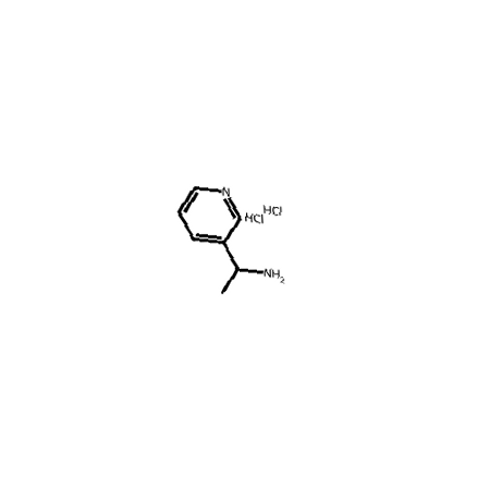 CC(N)c1cccnc1.Cl.Cl